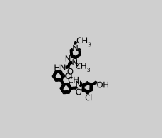 CCN1CCc2c(nc(C(=O)Nc3cccc(-c4cccc(-c5nc6cc(CO)cc(Cl)c6o5)c4C)c3Cl)n2C)C1